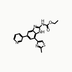 CCOC(=O)Nc1nc2cc(-c3cccnc3)cc(-c3csc(C)n3)c2[nH]1